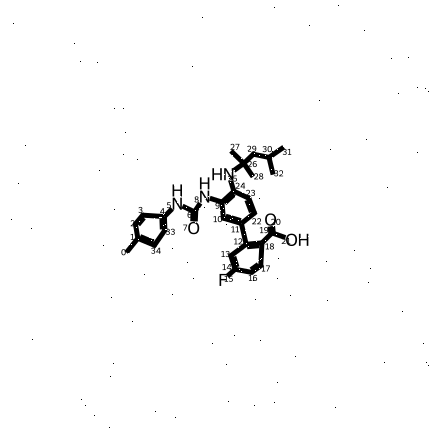 Cc1ccc(NC(=O)Nc2cc(-c3cc(F)ccc3C(=O)O)ccc2NC(C)(C)CC(C)C)cc1